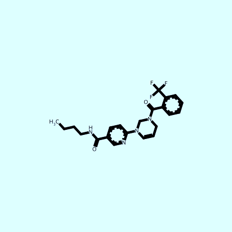 CCCCNC(=O)c1ccc(N2C=CCN(C(=O)c3ccccc3C(F)(F)F)C2)nc1